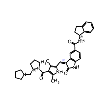 Cc1[nH]c(/C=C2\C(=O)Nc3ccc(C(=O)N[C@H]4CCc5ccccc54)cc32)c(C)c1C(=O)N1CCC[C@@H]1CN1CCCC1